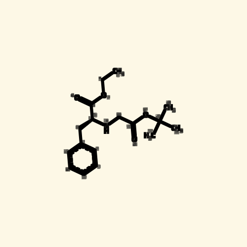 CCOC(=O)[C@H](Cc1ccccc1)NCC(=O)OC(C)(C)C